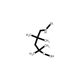 CCNCC(C)(C)CC(C)(C)CO